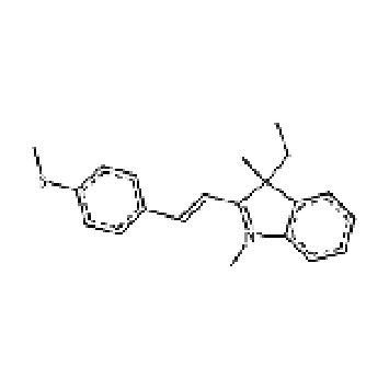 CCC1(C)C(/C=C/c2ccc(SC)cc2)=[N+](C)c2ccccc21